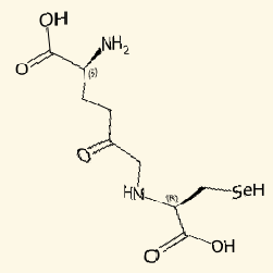 N[C@@H](CCC(=O)CN[C@@H](C[SeH])C(=O)O)C(=O)O